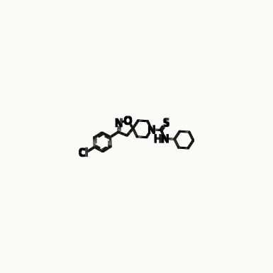 S=C(NC1CCCCC1)N1CCC2(CC1)CC(c1ccc(Cl)cc1)=NO2